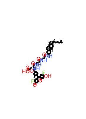 Cc1cc(C(=O)N[C@@H](CCC(=O)O)C(=O)NCCC(=O)NCCC(=O)N[C@H]2CC[C@@]3(C)C(=CC[C@H]4[C@@H]5CC[C@H]([C@H](C)CCCC(C)C)[C@@]5(C)CC[C@@H]43)C2)ccc1-c1c2cc(F)c(=O)cc-2oc2cc(O)c(F)cc12